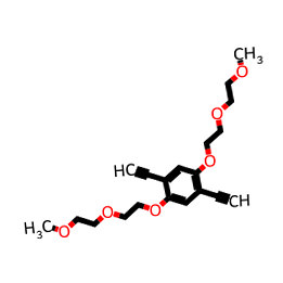 C#Cc1cc(OCCOCCOC)c(C#C)cc1OCCOCCOC